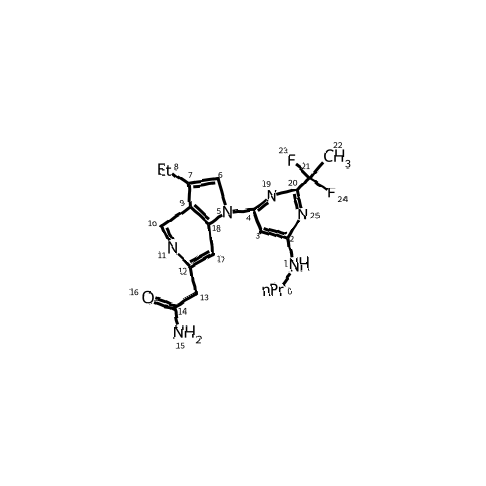 CCCNc1cc(-n2cc(CC)c3cnc(CC(N)=O)cc32)nc(C(C)(F)F)n1